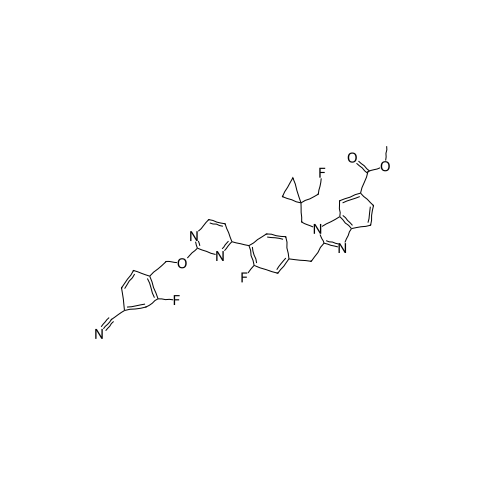 COC(=O)c1ccc2nc(Cc3ccc(-c4ccnc(OCc5ccc(C#N)cc5F)n4)c(F)c3)n(CC3(CF)CC3)c2c1